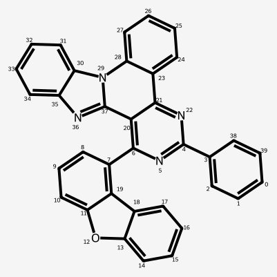 c1ccc(-c2nc(-c3cccc4oc5ccccc5c34)c3c(n2)c2ccccc2n2c4ccccc4nc32)cc1